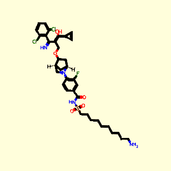 N=C(/C(COC1C[C@@H]2C[C@H]1CN2c1ccc(C(=O)NS(=O)(=O)CCCCCCCCCCN)cc1F)=C(\O)C1CC1)c1c(Cl)cccc1Cl